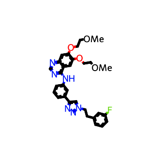 COCCOc1cc2ncnc(Nc3cccc(-c4cn(CCc5cccc(F)c5)nn4)c3)c2cc1OCCOC